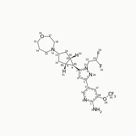 Nc1ncc(-c2cc([C@H]3[C@@H]4CC(N5CCCOCC5)C[C@@H]43)n(CC(F)F)n2)cc1OC(F)(F)F